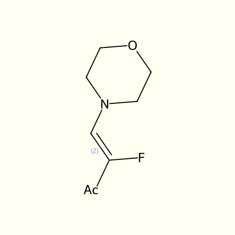 CC(=O)/C(F)=C/N1CCOCC1